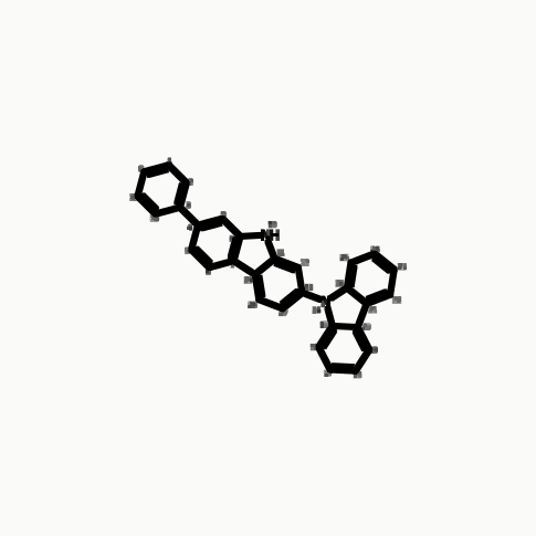 c1ccc(-c2ccc3c(c2)[nH]c2cc(-n4c5ccccc5c5ccccc54)ccc23)cc1